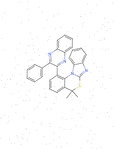 CC1(C)Sc2nc3ccccc3n2-c2c(-c3nc4ccccc4nc3-c3ccccc3)cccc21